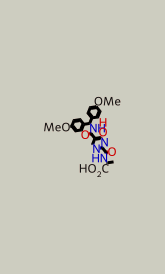 COc1ccc(C(NC(=O)c2cnc(C(=O)NC(C)C(=O)O)nc2O)c2ccc(OC)cc2)cc1